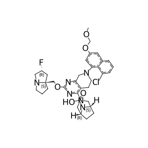 COCOc1cc(N2CCc3c(nc(OC[C@@]45CCCN4C[C@H](F)C5)nc3N3C[C@H]4CC[C@@H](C3)N4C(=O)O)C2)c2c(Cl)cccc2c1